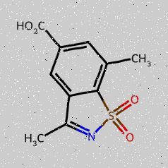 CC1=NS(=O)(=O)c2c(C)cc(C(=O)O)cc21